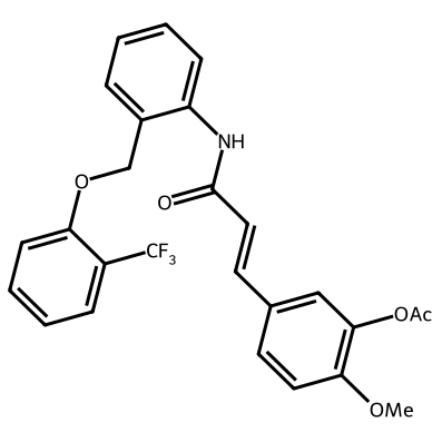 COc1ccc(C=CC(=O)Nc2ccccc2COc2ccccc2C(F)(F)F)cc1OC(C)=O